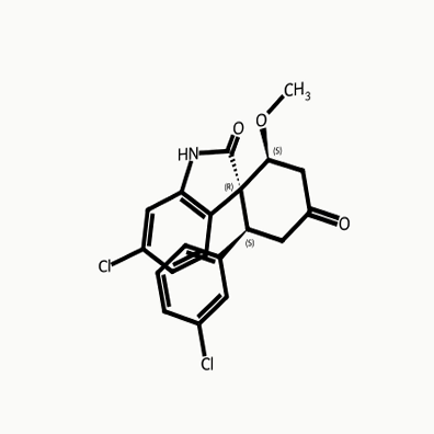 CO[C@H]1CC(=O)C[C@@H](c2cccc(Cl)c2)[C@]12C(=O)Nc1cc(Cl)ccc12